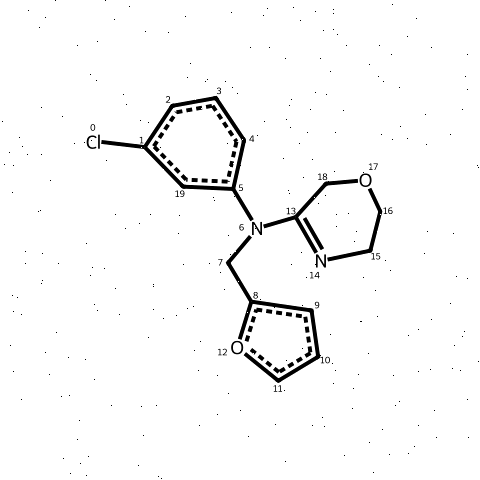 Clc1cccc(N(Cc2ccco2)C2=NCCOC2)c1